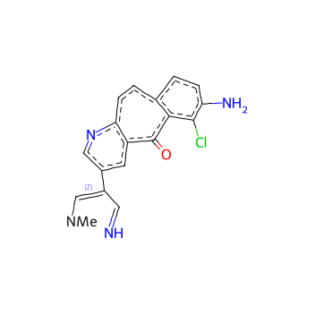 CN/C=C(\C=N)c1cnc2ccc3ccc(N)c(Cl)c3c(=O)c2c1